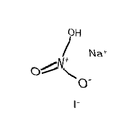 O=[N+]([O-])O.[I-].[Na+]